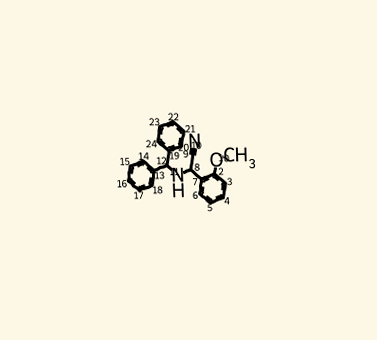 COc1ccccc1C(C#N)NC(c1ccccc1)c1ccccc1